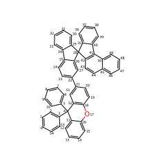 c1ccc(C2(c3ccccc3)c3ccccc3Oc3ccc(-c4ccc5c(c4)C4(c6ccccc6-5)c5ccccc5-c5c4ccc4ccccc54)cc32)cc1